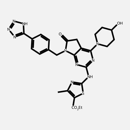 CCOC(=O)c1sc(Nc2nc(N3CCC(O)CC3)c3c(n2)N(Cc2ccc(-c4nnn[nH]4)cc2)C(=O)C3)nc1C